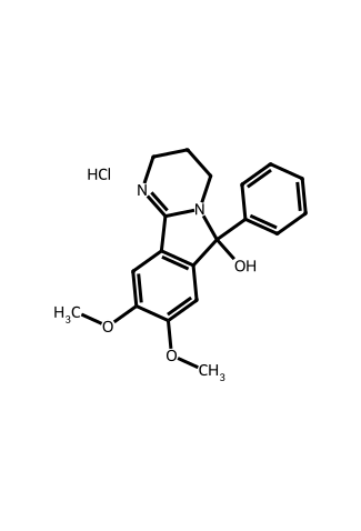 COc1cc2c(cc1OC)C(O)(c1ccccc1)N1CCCN=C21.Cl